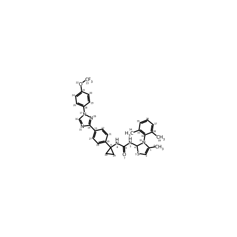 CC1=CSC(NC(=O)NC2(c3ccc(-c4ncn(-c5ccc(OC(F)(F)F)cc5)n4)cc3)CC2)N1c1c(C)cccc1C